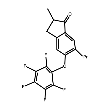 CC1Cc2cc(Oc3c(F)c(F)c(F)c(F)c3F)c(C(C)C)cc2C1=O